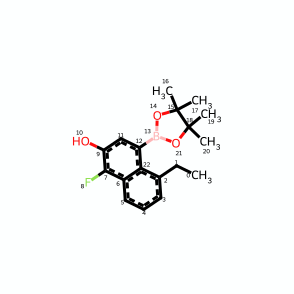 CCc1cccc2c(F)c(O)cc(B3OC(C)(C)C(C)(C)O3)c12